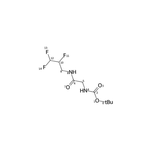 CC(C)(C)OC(=O)NCC(=O)NCC(F)C(F)F